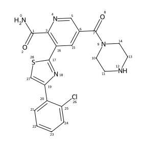 NC(=O)c1ncc(C(=O)N2CCNCC2)cc1-c1nc(-c2ccccc2Cl)cs1